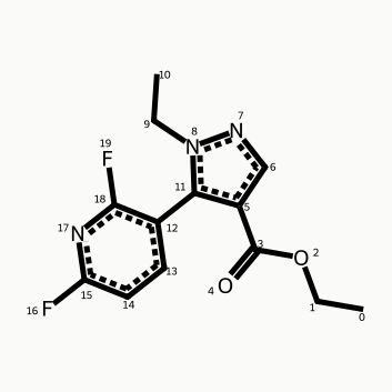 CCOC(=O)c1cnn(CC)c1-c1ccc(F)nc1F